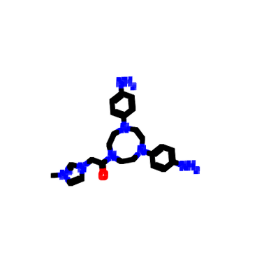 C[n+]1ccn(CC(=O)N2CCN(c3ccc(N)cc3)CCN(c3ccc(N)cc3)CC2)c1